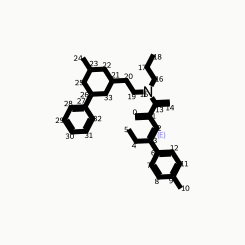 C=C(/C=C(\CC)c1ccc(C)cc1)C(=C)N(CCC)CCC1CC(C)CC(c2ccccc2)C1